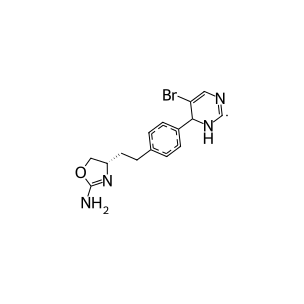 NC1=N[C@@H](CCc2ccc(C3N[C]=NC=C3Br)cc2)CO1